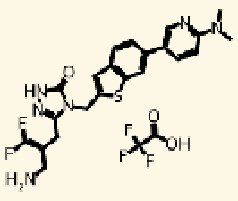 CN(C)c1ccc(-c2ccc3cc(Cn4c(CC(CN)=C(F)F)n[nH]c4=O)sc3c2)cn1.O=C(O)C(F)(F)F